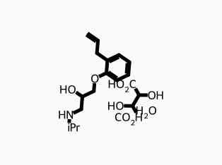 C=CCc1ccccc1OCC(O)CNC(C)C.O.O=C(O)C(O)C(O)C(=O)O